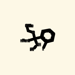 CCCCCC(NC(C)C)(OCOC)c1ccccc1I